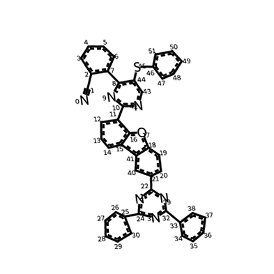 N#Cc1ccccc1-c1nc(-c2cccc3c2oc2ccc(-c4nc(-c5ccccc5)nc(-c5ccccc5)n4)cc23)ncc1Sc1ccccc1